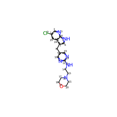 Clc1cnc2[nH]cc(Cc3cnc(NCCN4CCOCC4)nc3)c2c1